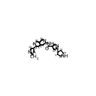 Cn1cc(-c2cc3cc(NC(=O)c4cnn(C5CCNCC5)c4)ncc3cn2)cn1